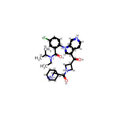 CCN(C(=O)c1cc(F)ccc1-n1cc(C(=O)C2CN(C(=O)C3NC4CCC3CC4)C2)c2ccncc21)C(C)C